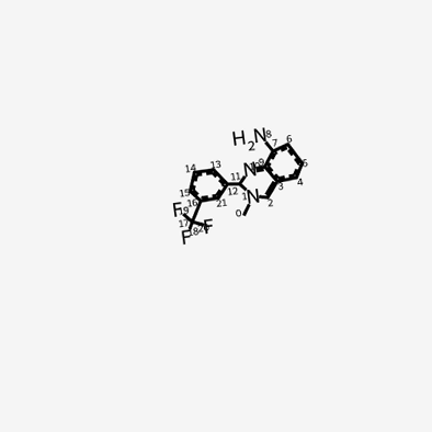 CN1C=c2cccc(N)c2=NC1c1cccc(C(F)(F)F)c1